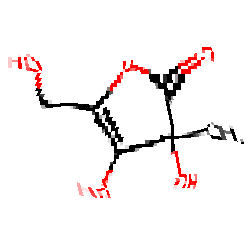 CC1(O)C(=O)OC(CO)=C1O